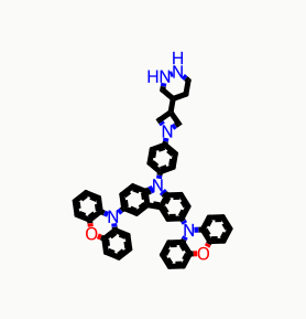 c1ccc2c(c1)Oc1ccccc1N2c1ccc2c(c1)c1cc(N3c4ccccc4Oc4ccccc43)ccc1n2-c1ccc(N2CC(C3CCNNC3)C2)cc1